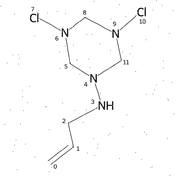 C=CCNN1CN(Cl)CN(Cl)C1